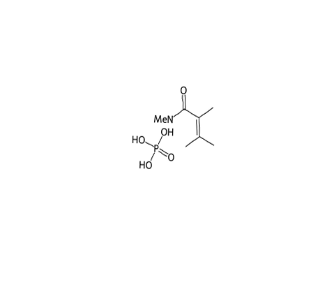 CNC(=O)C(C)=C(C)C.O=P(O)(O)O